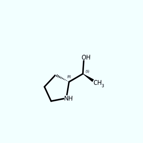 C[C@H](O)[C@H]1CCCN1